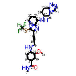 CNC(=O)c1ccc(NCC#Cc2nc3c(N[C@H]4CCc5nncn5C4)cccn3c2SC(F)(F)F)c(OC)c1